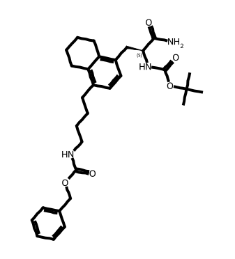 CC(C)(C)OC(=O)N[C@@H](Cc1ccc(CCCCNC(=O)OCc2ccccc2)c2c1CCCC2)C(N)=O